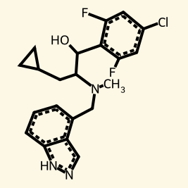 CN(Cc1cccc2[nH]ncc12)C(CC1CC1)C(O)c1c(F)cc(Cl)cc1F